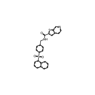 O=C(NCc1ccc(S(=O)(=O)c2cccc3ccccc23)cc1)c1cc2ccncc2s1